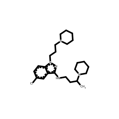 CC(CCNc1nn(CCCN2CCCCC2)c2ccc(Cl)cc12)N1CCCCC1